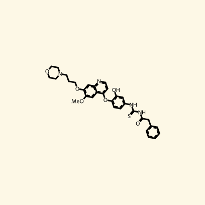 COc1cc2c(Oc3ccc(NC(=S)NC(=O)Cc4ccccc4)cc3O)ccnc2cc1OCCCN1CCOCC1